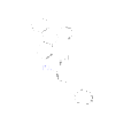 C=C/C(=C\CCc1ccccc1)NC1=CC(C2C=CC=CC2)=C(C2=CCCC=C2)CC1